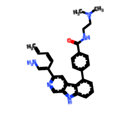 C=C/C=C\C(=C/N)c1cc2c(cn1)[nH]c1cccc(-c3ccc(C(=O)NCCN(C)C)cc3)c12